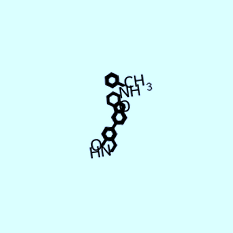 C[C@@H](N[C@@H]1CCCc2c1oc1ccc(-c3ccc4c(c3)CCNC4=O)cc21)c1ccccc1